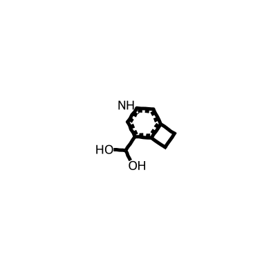 N.OC(O)c1cccc2c1CC2